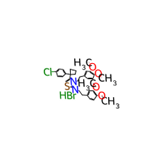 Br.COc1ccc(CC/N=c2/scc(C3(c4ccc(Cl)cc4)CCC3)n2CCc2ccc(OC)c(OC)c2)cc1OC